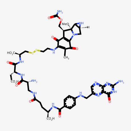 CO[C@]12C3N[C@H]3CN1C1=C(C(=O)C(NCCSSC[C@@H](NC(=O)[C@@H](CC(=O)O)NC(=O)[C@H](N)CNC(=O)CC[C@@H](NC(=O)c3ccc(NCc4cnc5nc(N)[nH]c(=O)c5n4)cc3)C(=O)O)C(=O)O)=C(C)C1=O)[C@H]2COC(N)=O